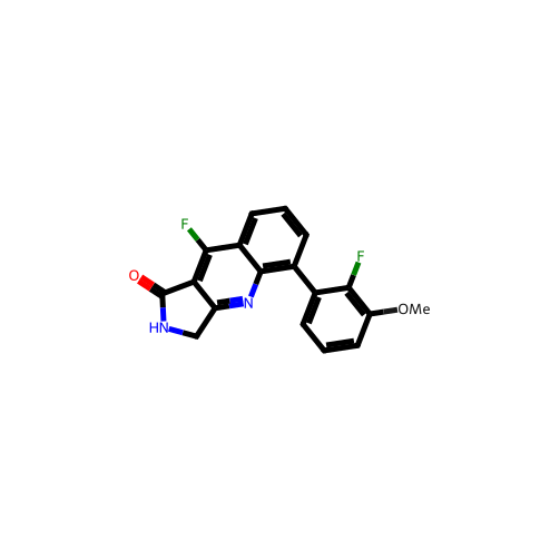 COc1cccc(-c2cccc3c(F)c4c(nc23)CNC4=O)c1F